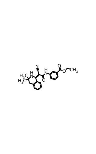 CCOC(=O)c1cccc(NC(=O)C(C#N)=C2NC(C)(C)Cc3ccccc32)c1